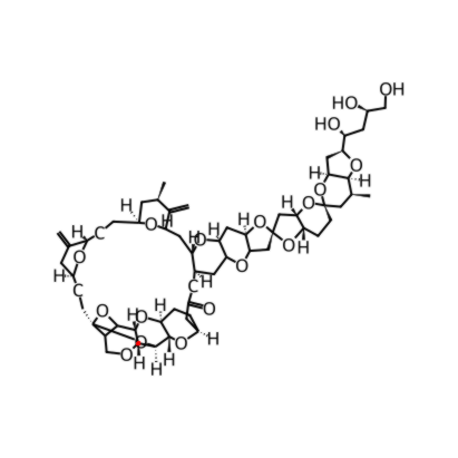 C=C1C[C@@H]2CC[C@@]34OC5C3CO[C@H]3[C@@H](O4)[C@H]4O[C@H](CC[C@@H]4O[C@@H]53)CC(=O)C[C@@H]3CC4OC5C[C@]6(C[C@@H]7O[C@@]8(CC[C@@H]7O6)C[C@H](C)[C@@H]6O[C@H]([C@@H](O)C[C@@H](O)CO)C[C@@H]6O8)O[C@@H]5C[C@@H]4O[C@H]3C[C@H]3O[C@@H](CC[C@@H]1O2)C[C@@H](C)C3=C